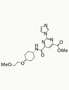 COCCO[C@H]1CC[C@H](NC(=O)c2cc(C(=O)OC)nc(-n3ccnc3)n2)CC1